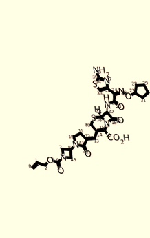 C=CCOC(=O)N1CC(N2CC/C(=C\C3=C(C(=O)O)N4C(=O)[C@@H](NC(=O)/C(=N\OC5CCCC5)c5csc(N)n5)[C@H]4SC3)C2=O)C1